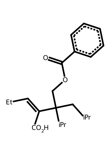 CCC=C(C(=O)O)C(COC(=O)c1ccccc1)(CC(C)C)C(C)C